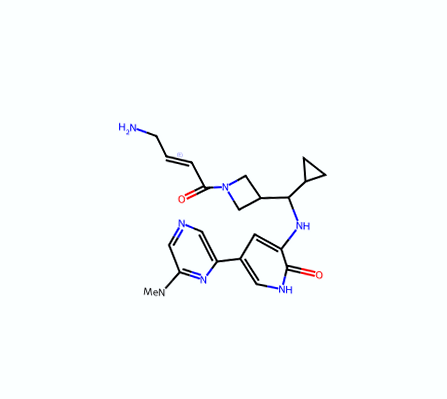 CNc1cncc(-c2c[nH]c(=O)c(NC(C3CC3)C3CN(C(=O)/C=C/CN)C3)c2)n1